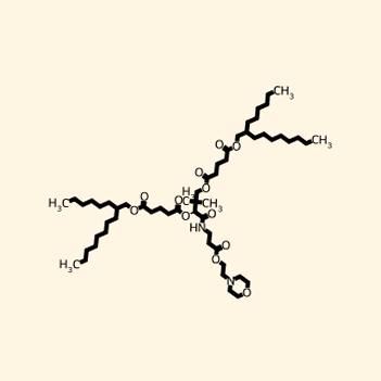 CCCCCCCCC(CCCCCC)COC(=O)CCCC(=O)OCC(C)(C)[C@@H](OC(=O)CCCC(=O)OCC(CCCCCC)CCCCCCCC)C(=O)NCCC(=O)OCCN1CCOCC1